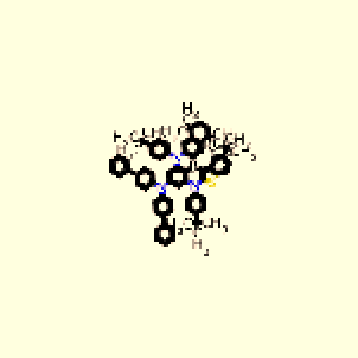 CC(C)(C)c1ccc(N2c3cc4c(cc3B3c5c2cc(N(c2ccc(-c6ccccc6)cc2)c2ccc(-c6ccccc6)cc2)cc5N(c2ccc(C(C)(C)C)cc2)c2sc5ccc(C(C)(C)C)cc5c23)C(C)(C)CCC4(C)C)cc1